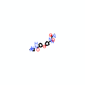 CN(C)C(=O)c1nc(-c2ccc(Oc3cccc(C(=O)Nc4ccn(C)n4)c3)cc2)no1